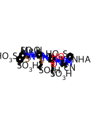 COc1cc(N=Nc2cc(OCCCS(=O)(=O)O)c(N=Nc3c(C)c(C#N)c4nc5c(NC(C)=O)ccc(S(=O)(=O)O)c5n4c3O)cc2C)c(SCCCS(=O)(=O)O)cc1N=Nc1nc2c(S(=O)(=O)O)cc3c(S(=O)(=O)O)cc(S(=O)(=O)O)cc3c2s1